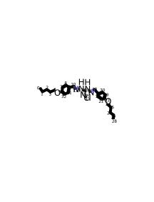 CCCCCOc1ccc(/C=N/NC(=NCl)N/N=C/c2ccc(OCCCCC)cc2)cc1